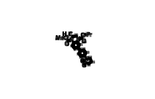 COC(=O)N1c2ccc(-c3ccc(N4CCCS4(=O)=O)cc3)cc2N(C(=O)OC(C)C)C[C@@H]1C